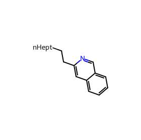 CCCCCCCCCc1cc2ccccc2cn1